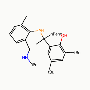 CCCCCC(C)(Pc1c(C)cccc1CNC(C)C)c1cc(C(C)(C)C)cc(C(C)(C)C)c1O